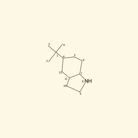 CC(C)(C)C1CCC2NCCC2C1